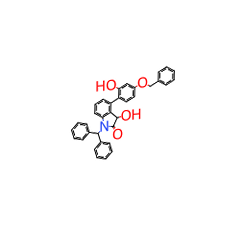 O=C1C(O)c2c(-c3ccc(OCc4ccccc4)cc3O)cccc2N1C(c1ccccc1)c1ccccc1